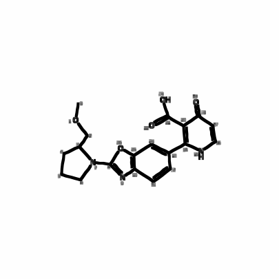 COCC1CCCN1c1nc2ccc(-c3[nH]ccc(=O)c3C(=O)O)cc2o1